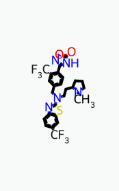 CN1CCCC1CCN(Cc1ccc(-c2noc(=O)[nH]2)c(C(F)(F)F)c1)c1nc2ccc(C(F)(F)F)cc2s1